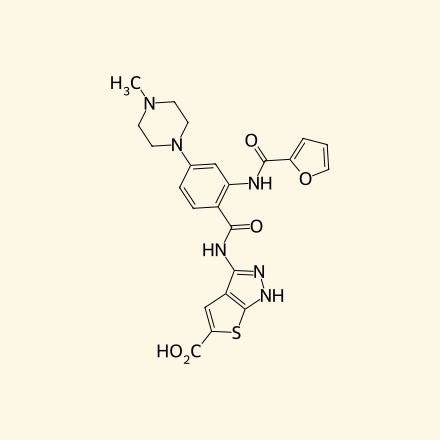 CN1CCN(c2ccc(C(=O)Nc3n[nH]c4sc(C(=O)O)cc34)c(NC(=O)c3ccco3)c2)CC1